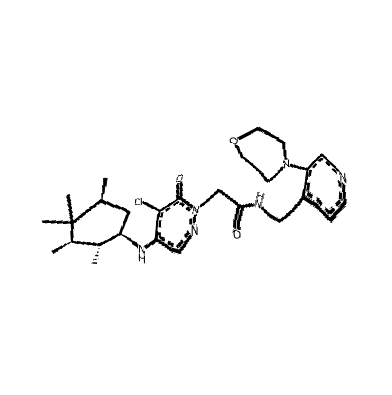 C[C@@H]1[C@@H](C)C(C)(C)[C@@H](C)C[C@H]1Nc1cnn(CC(=O)NCc2ccncc2N2CCOCC2)c(=O)c1Cl